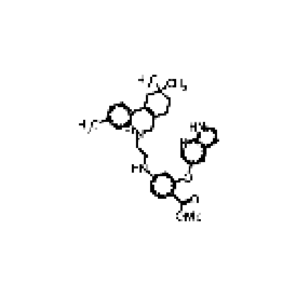 CCN(CCNc1ccc(C(=O)OC)c(Oc2cnc3[nH]ccc3c2)c1)CC1=C(c2ccc(C)cc2)CC(C)(C)CC1